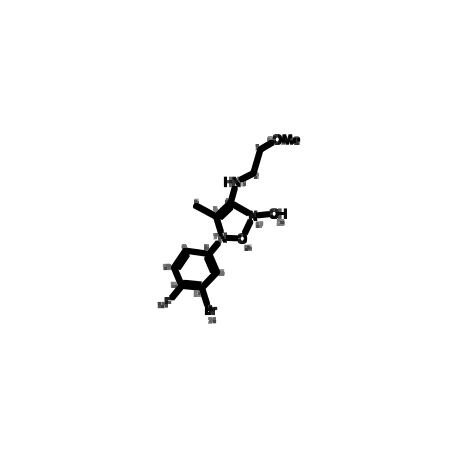 COCCNC1=C(C)N(c2ccc(F)c(Br)c2)ON1O